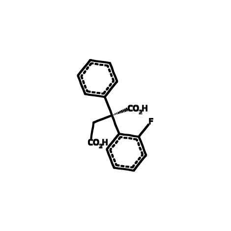 O=C(O)C[C@@](C(=O)O)(c1ccccc1)c1ccccc1F